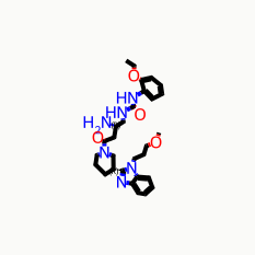 CCOc1ccccc1NC(=O)NC[C@H](N)CC(=O)N1CCC[C@@H](c2nc3ccccc3n2CCCOC)C1